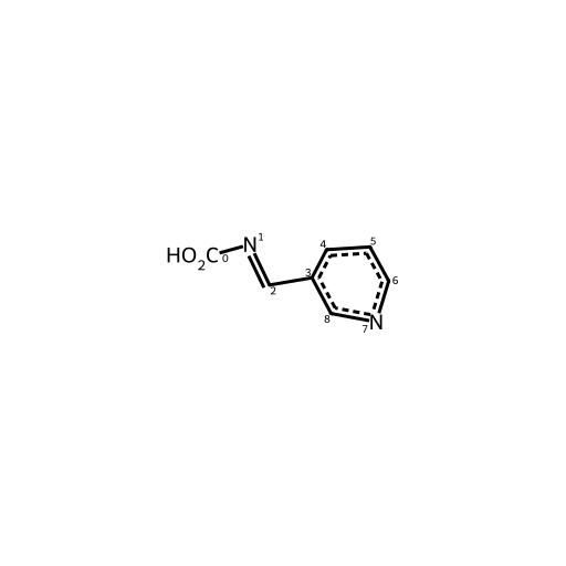 O=C(O)/N=C/c1cccnc1